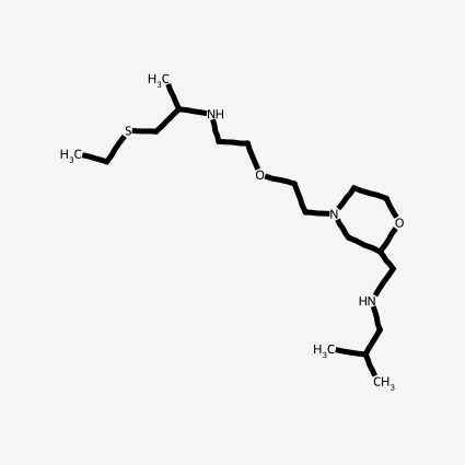 CCSCC(C)NCCOCCN1CCOC(CNCC(C)C)C1